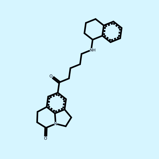 O=C(CCCCNC1CCCc2ccccc21)c1cc2c3c(c1)CCN3C(=O)CC2